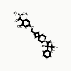 CN(C)C(=O)c1ccc(OCC2CC3(CCN(C(=O)C(O)(c4ccccc4)C(F)(F)F)CC3)C2)cc1Cl